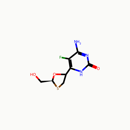 Nc1nc(=O)[nH]c(C2CS[C@@H](CO)O2)c1F